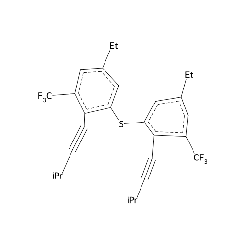 CCc1cc(Sc2cc(CC)cc(C(F)(F)F)c2C#CC(C)C)c(C#CC(C)C)c(C(F)(F)F)c1